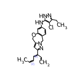 C=C/C(=C\C=C/C)c1cc2n(n1)Cc1ccc(Nc3[nH]nc(CC)c3Cl)cc1OC2